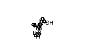 Oc1cc(N2CCc3c(nc(OC[C@]45CCCN4[C@@H]4CCC[C@@H]4C5)nc3N3CC4CCC(C3)N4)C2)c2c(I)cccc2c1